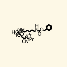 CC(C)N(C(C)C)C(C#N)COP(O)(O)(O)CCCCCCNC(=O)OCc1ccccc1